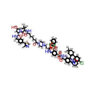 Cc1ncsc1-c1ccc([C@H](C)NC(=O)[C@@H]2C[C@@H](O)CN2C(=O)[C@@H](NC(=O)CCCCCC(=O)N2CCN(CC[C@H](CSc3ccccc3)Nc3ccc(S(=O)(=O)NC(=O)c4ccc(N5CC6CCC5CN(CC5=C(c7ccc(Cl)cc7)CCC(C)(C)C5)C6)cc4)cc3S(=O)(=O)C(F)(F)F)CC2)C(C)(C)C)cc1